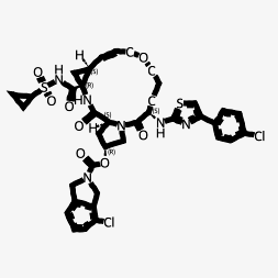 O=C1N[C@]2(C(=O)NS(=O)(=O)C3CC3)C[C@H]2C=CCOCCC[C@H](Nc2nc(-c3ccc(Cl)cc3)cs2)C(=O)N2C[C@H](OC(=O)N3Cc4cccc(Cl)c4C3)C[C@@H]12